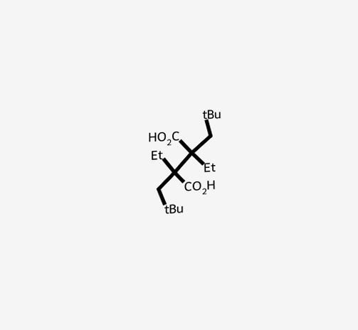 CCC(CC(C)(C)C)(C(=O)O)C(CC)(CC(C)(C)C)C(=O)O